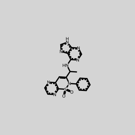 CC(Nc1ncnc2[nH]cnc12)C1=Cc2nccnc2S(=O)(=O)N1c1ccccc1